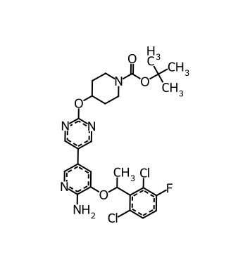 CC(Oc1cc(-c2cnc(OC3CCN(C(=O)OC(C)(C)C)CC3)nc2)cnc1N)c1c(Cl)ccc(F)c1Cl